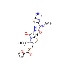 CO/N=C(/C(=O)N[C@@H]1C(=O)N2C(C(=O)O)=C(CSC(=O)c3ccco3)CS[C@H]12)c1csc(N)n1